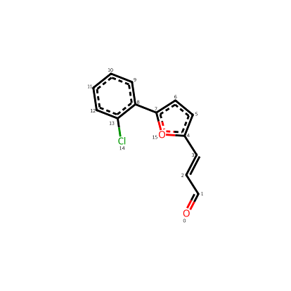 O=CC=Cc1ccc(-c2ccccc2Cl)o1